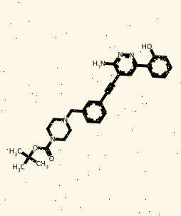 CC(C)(C)OC(=O)N1CCN(Cc2cccc(C#Cc3cc(-c4ccccc4O)nnc3N)c2)CC1